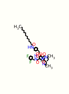 CCCCCCCCCCCCCC(=O)Nc1ccc(CC(=O)Oc2c3n(cc(C(=O)NCc4ccc(F)cc4F)c2=O)[C@@H]2CN(C3=O)[C@@H](C)CC[C@]23CC(C)=NO3)cc1